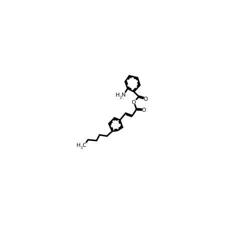 CCCCCc1ccc(/C=C/C(=O)OC(=O)c2ccccc2N)cc1